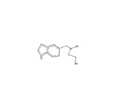 CC(C)CCN(Cc1ccc2[nH]ccc2c1)C(C)C